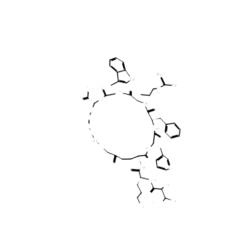 CCCC[C@H](NC(=O)C(O)C(C)C)C(=O)N[C@H]1CCC(=O)CCNCCCC[C@@H](C(N)=O)NC(=O)[C@H](Cc2c[nH]c3ccccc23)NC(=O)[C@H](CCCNC(=N)N)NC(=O)[C@@H](Cc2ccccc2)NC(=O)[C@H](Cc2cccnc2)NC1=O